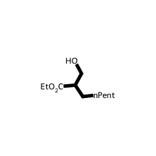 CCCCCCC(CO)C(=O)OCC